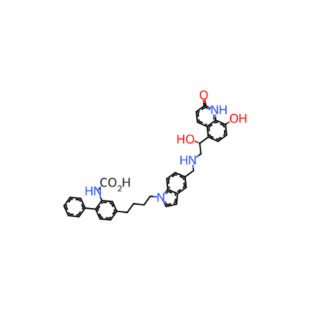 O=C(O)Nc1cc(CCCCn2ccc3cc(CNC[C@@H](O)c4ccc(O)c5[nH]c(=O)ccc45)ccc32)ccc1-c1ccccc1